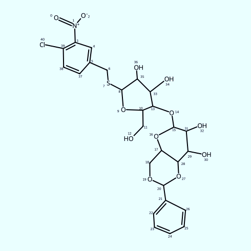 O=[N+]([O-])c1cc(CSC2OC(CO)C(OC3OC4COC(c5ccccc5)OC4C(O)C3O)C(O)C2O)ccc1Cl